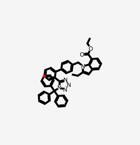 CCOC(=O)c1cccc2cc(CC)n(Cc3ccc(-c4ccccc4-c4nnnn4C(c4ccccc4)(c4ccccc4)c4ccccc4)cc3)c12